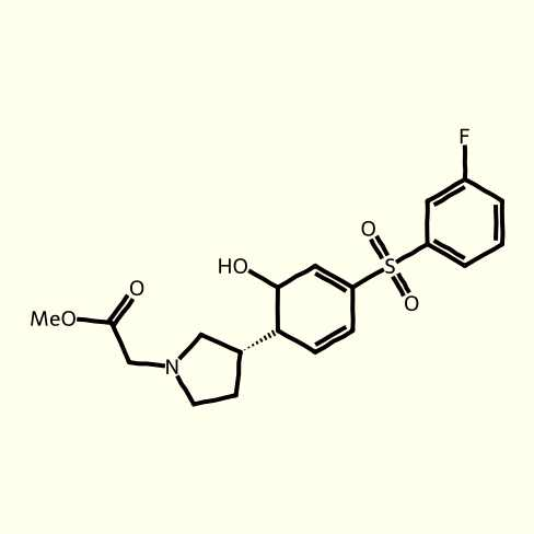 COC(=O)CN1CC[C@@H](C2C=CC(S(=O)(=O)c3cccc(F)c3)=CC2O)C1